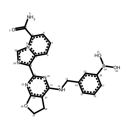 NC(=O)c1cccc2c(-c3nc(NCc4cccc(B(O)O)c4)c4c(n3)OCC4)ncn12